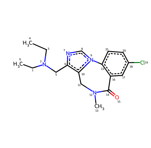 CCN(CC)Cc1ncn2c1CN(C)C(=O)c1cc(Cl)ccc1-2